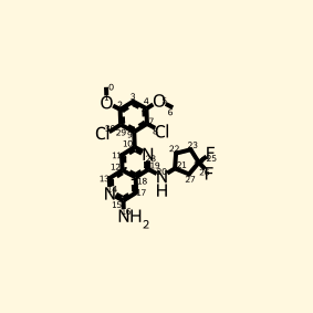 COc1cc(OC)c(Cl)c(-c2cc3cnc(N)cc3c(NC3CCC(F)(F)C3)n2)c1Cl